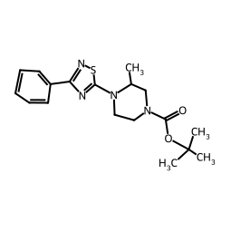 CC1CN(C(=O)OC(C)(C)C)CCN1c1nc(-c2ccccc2)ns1